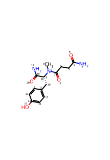 CN(C(=O)CCC(N)=O)[C@H](Cc1ccc(O)cc1)C(N)=O